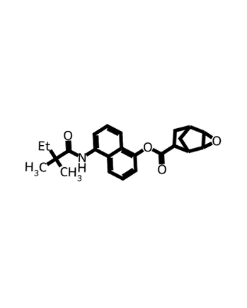 CCC(C)(C)C(=O)Nc1cccc2c(OC(=O)C3CC4CC3C3OC43)cccc12